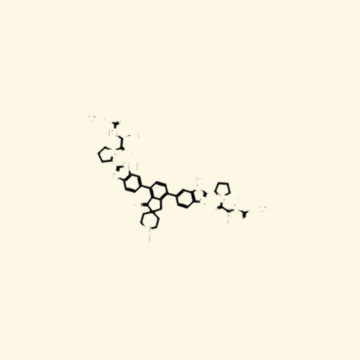 COC(=O)N[C@H](C(=O)N1CCC[C@H]1c1nc2ccc(-c3ccc(-c4ccc5nc([C@@H]6CCCN6C(=O)[C@@H](NC(=O)OC)C(C)C)[nH]c5c4)c4c3CC3(CCNCC3)C4=O)cc2[nH]1)C(C)C